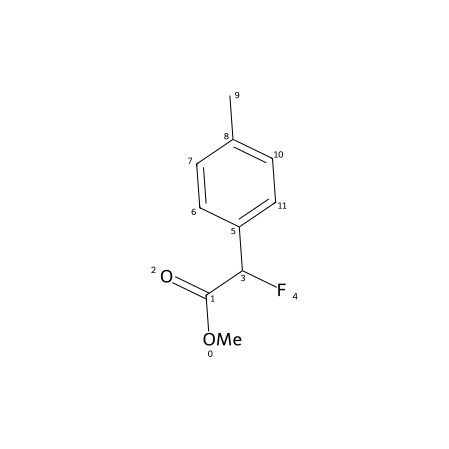 COC(=O)C(F)c1ccc(C)cc1